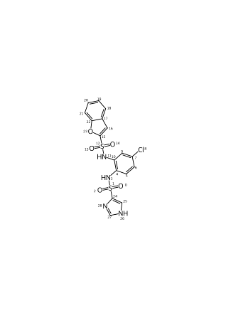 O=S(=O)(Nc1ccc(Cl)cc1NS(=O)(=O)c1cc2ccccc2o1)c1c[nH]cn1